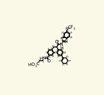 O=C(O)CCNC(=O)c1ccc(CC(C(=O)Nc2nc3ccc(SC(F)(F)F)cc3s2)c2ccc(C3=CCCCC3)cc2)cc1